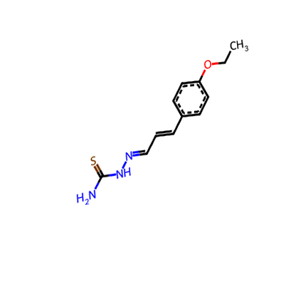 CCOc1ccc(/C=C/C=N/NC(N)=S)cc1